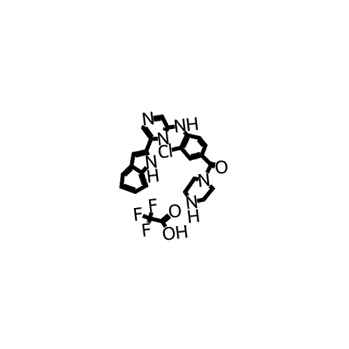 O=C(O)C(F)(F)F.O=C(c1ccc(Nc2cncc(-c3cc4ccccc4[nH]3)n2)c(Cl)c1)N1CCNCC1